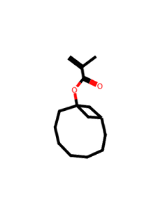 C=C(C)C(=O)OC12CCCCCCCC(C1)C2